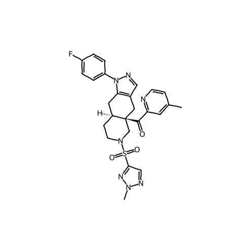 Cc1ccnc(C(=O)[C@]23Cc4cnn(-c5ccc(F)cc5)c4C[C@@H]2CCN(S(=O)(=O)c2cnn(C)n2)C3)c1